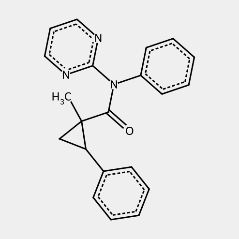 CC1(C(=O)N(c2ccccc2)c2ncccn2)CC1c1ccccc1